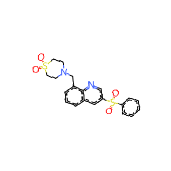 O=S1(=O)CCN(Cc2cccc3cc(S(=O)(=O)c4ccccc4)cnc23)CC1